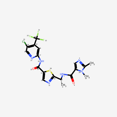 Cc1ncc(C(=O)N[C@H](C)c2ncc(C(=O)Nc3cc(C(F)(F)F)c(Cl)cn3)s2)n1C